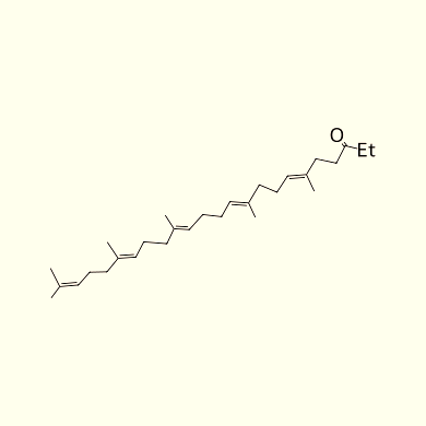 CCC(=O)CC/C(C)=C/CC/C(C)=C/CC/C=C(\C)CC/C=C(\C)CCC=C(C)C